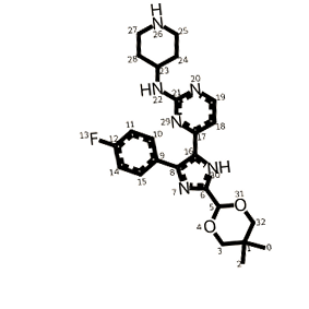 CC1(C)COC(c2nc(-c3ccc(F)cc3)c(-c3ccnc(NC4CCNCC4)n3)[nH]2)OC1